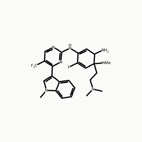 CNC1(CCN(C)C)C=C(F)C(Nc2ncc(C(F)(F)F)c(-c3cn(C)c4ccccc34)n2)=CC1N